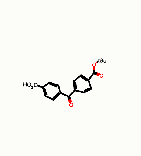 CC(C)(C)OC(=O)c1ccc(C(=O)c2ccc(C(=O)O)cc2)cc1